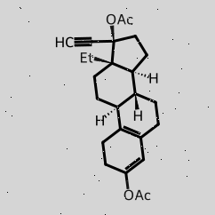 C#C[C@]1(OC(C)=O)CC[C@H]2[C@@H]3CCC4=C(CCC(OC(C)=O)=C4)[C@H]3CC[C@@]21CC